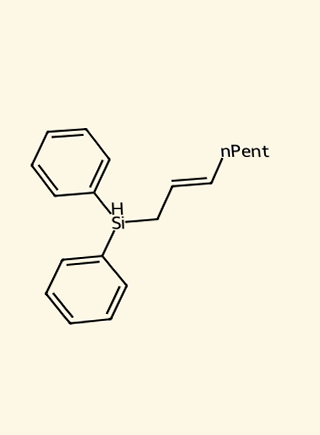 CCCCCC=CC[SiH](c1ccccc1)c1ccccc1